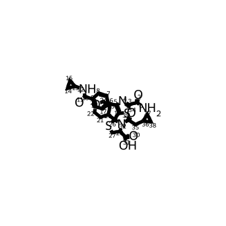 NC(=O)c1nc(-c2ccc(C(=O)NC3CC3)cc2)c(C2(C3CCOCC3)SCC(C(=O)O)N2C(=O)CC2CC2)s1